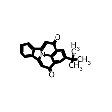 CC(C)(C)c1cc2c(=O)cc3c4ccccc4c4cc(=O)c(c1)c2n34